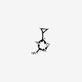 CCCc1noc(C2CC2)n1